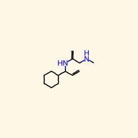 C=CC(NC(=C)CNC)C1CCCCC1